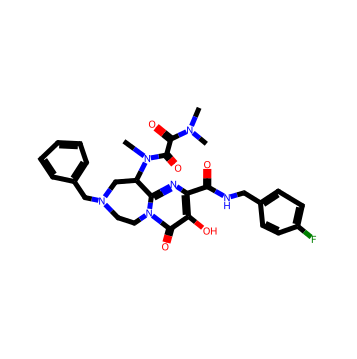 CN(C)C(=O)C(=O)N(C)C1CN(Cc2ccccc2)CCn2c1nc(C(=O)NCc1ccc(F)cc1)c(O)c2=O